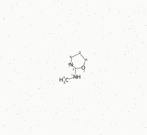 CNC1[N]CCCO1